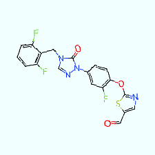 O=Cc1cnc(Oc2ccc(-n3ncn(Cc4c(F)cccc4F)c3=O)cc2F)s1